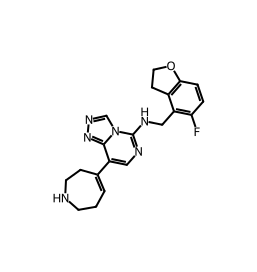 Fc1ccc2c(c1CNc1ncc(C3=CCCNCC3)c3nncn13)CCO2